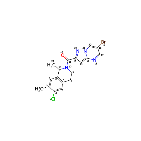 Cc1cc2c(cc1Cl)CCN(C(=O)c1cc3ncc(Br)cn3n1)C2C